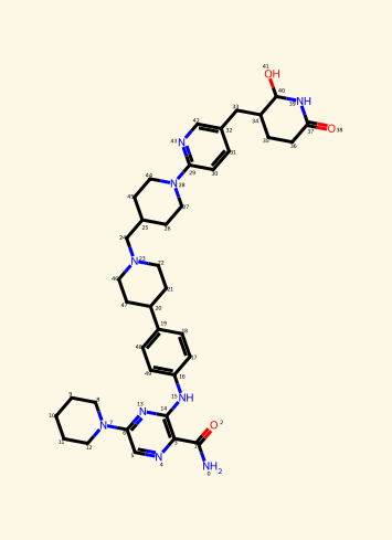 NC(=O)c1ncc(N2CCCCC2)nc1Nc1ccc(C2CCN(CC3CCN(c4ccc(CC5CCC(=O)NC5O)cn4)CC3)CC2)cc1